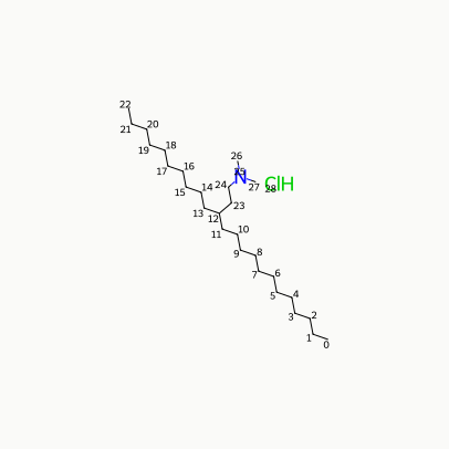 CCCCCCCCCCCCC(CCCCCCCCCC)CCN(C)C.Cl